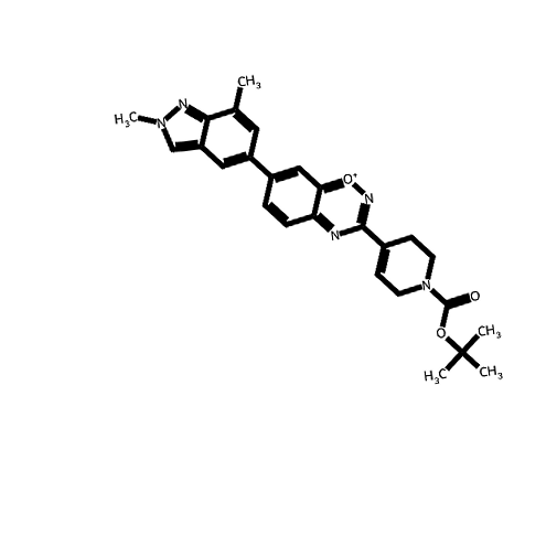 Cc1cc(-c2ccc3nc(C4=CCN(C(=O)OC(C)(C)C)CC4)n[o+]c3c2)cc2cn(C)nc12